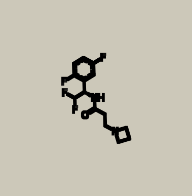 O=C(CCN1CCC1)N[C@H](c1cc(F)ccc1F)C(F)F